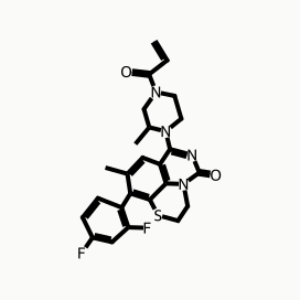 C=CC(=O)N1CCN(c2nc(=O)n3c4c(c(-c5ccc(F)cc5F)c(C)cc24)SCC3)C(C)C1